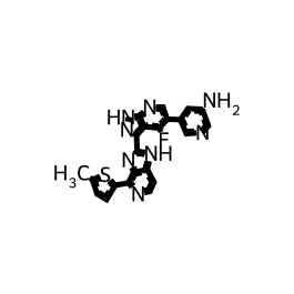 Cc1ccc(-c2nccc3[nH]c(-c4n[nH]c5ncc(-c6cncc(N)c6)c(F)c45)nc23)s1